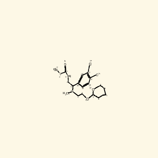 CN(CCOC1CCCCO1)C(CNC(=O)OC(C)(C)C)c1ccc(Cl)c(Cl)c1